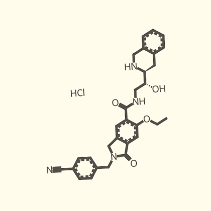 CCOc1cc2c(cc1C(=O)NC[C@@H](O)[C@@H]1Cc3ccccc3CN1)CN(Cc1ccc(C#N)cc1)C2=O.Cl